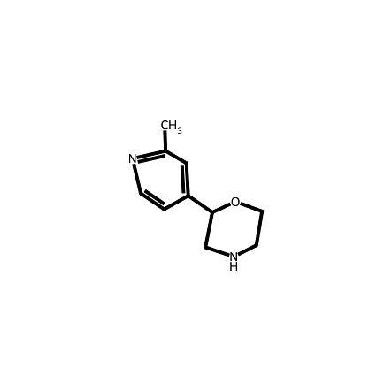 Cc1cc(C2CNCCO2)ccn1